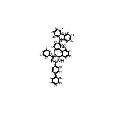 c1ccc(C2=NC(c3ccc(-c4ccccc4)cc3)NC(c3cccc4oc5c(-n6c7ccccc7c7ccccc76)cccc5c34)N2)cc1